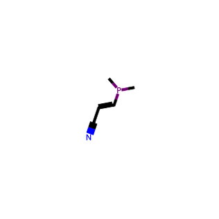 CP(C)C=CC#N